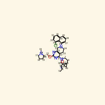 C/C=C/C(=O)C12CCN(c3nc(OC[C@@H]4CCCN4C)nc4c3CCN(c3cccc5cccc(Cl)c35)C4)CC1C2